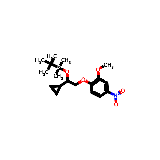 COc1cc([N+](=O)[O-])ccc1OCC(O[Si](C)(C)C(C)(C)C)C1CC1